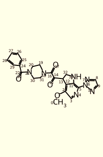 COc1cnc(-n2nccn2)c2c1C(C(=O)C(=O)N1CCN(C(=O)c3ccccc3)CC1)CN2